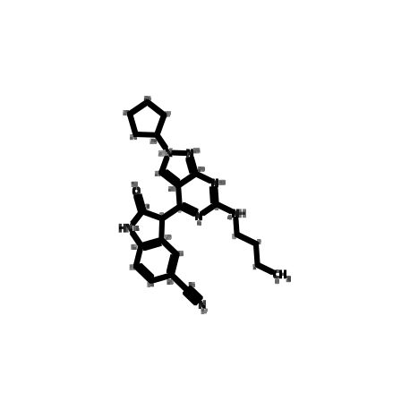 CCCCNc1nc(C2C(=O)Nc3ccc(C#N)cc32)c2cn(C3CCCC3)nc2n1